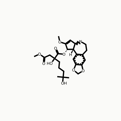 COC(=O)CC(O)(CCCC(C)(C)O)C(=O)O[C@@H]1C(OC)=C[C@]23CCCN2CCc2cc4c(cc2[C@H]13)OCO4